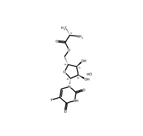 C[C@H](N)C(=O)OC[C@H]1O[C@@H](n2cc(F)c(=O)[nH]c2=O)[C@H](O)[C@@H]1O.Cl